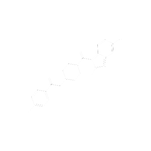 Cn1nc2cc(Br)ccc2c1C(=O)N1CCN(CC(=O)c2ccc(F)cc2)CC1